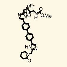 CCCN(Cc1ncc(-c2ccc(-c3ccc(-c4cnc(CN5CCCCC5=O)[nH]4)cc3)cc2)[nH]1)C(=O)CNC(=O)OC